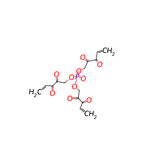 C=CC(=O)C(=O)COP(=O)(OCC(=O)C(=O)C=C)OCC(=O)C(=O)C=C